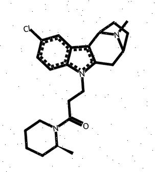 C[C@H]1CCCCN1C(=O)CCn1c2c(c3cc(Cl)ccc31)C1CCC(C2)N1C